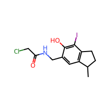 CC1CCc2c1cc(CNC(=O)CCl)c(O)c2I